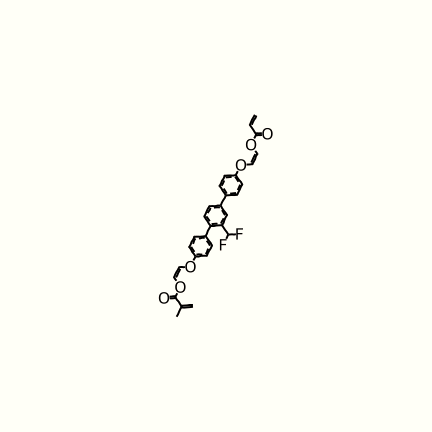 C=CC(=O)O/C=C\Oc1ccc(-c2ccc(-c3ccc(O/C=C\OC(=O)C(=C)C)cc3)c(C(F)F)c2)cc1